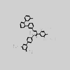 CCCCCCCCc1cc(-c2cc(-c3cccc(-c4ccccc4-c4cccc(C)c4)c3)nc(-c3ccc(-c4cc(C#N)cc(C#N)c4)cc3)n2)c(CCCCCCCC)cc1C